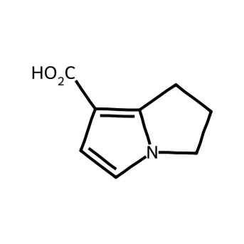 O=C(O)c1ccn2c1CCC2